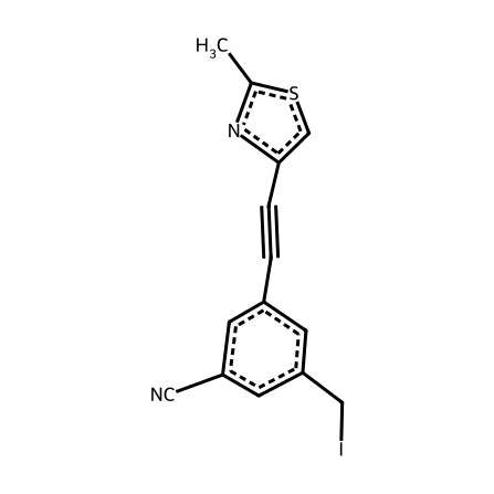 Cc1nc(C#Cc2cc(C#N)cc(CI)c2)cs1